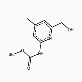 Cc1cc(CO)nc(NC(=O)OC(C)(C)C)c1